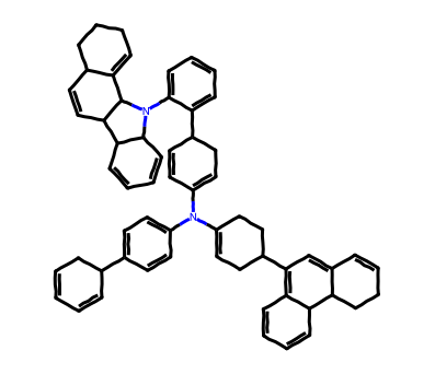 C1=CCC(c2ccc(N(C3=CCC(c4ccccc4N4C5C=CC=CC5C5C=CC6CCCC=C6C54)C=C3)C3=CCC(C4=C5C=CC=CC5C5CCC=CC5=C4)CC3)cc2)C=C1